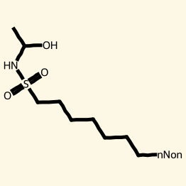 CCCCCCCCCCCCCCCCS(=O)(=O)NC(C)O